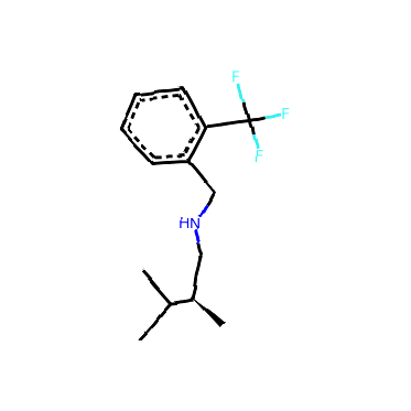 CC(C)[C@H](C)CNCc1ccccc1C(F)(F)F